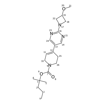 CCCC(C)(C)OC(=O)N1CC=C(c2cnc(N3CC(OC)C3)nc2)CC1